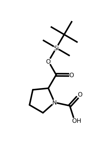 CC(C)(C)[Si](C)(C)OC(=O)C1CCCN1C(=O)O